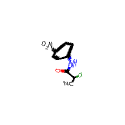 N#CC(Cl)C(=O)Nc1ccc([N+](=O)[O-])cc1